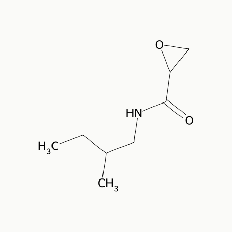 CCC(C)CNC(=O)C1CO1